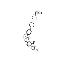 CCCC[C@H]1CC[C@H](C2CCC(c3ccc(C(F)(F)Oc4ccc(C(F)(F)F)c(F)c4)cc3)CC2)CC1